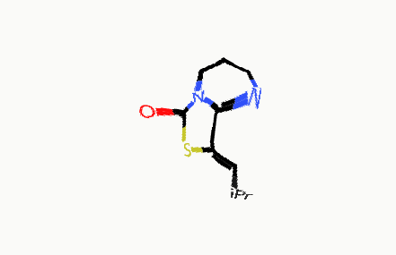 CC(C)C=c1sc(=O)n2c1=NCCC2